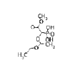 CCOC(C)OC(C(=O)OC)P(=O)(O)O